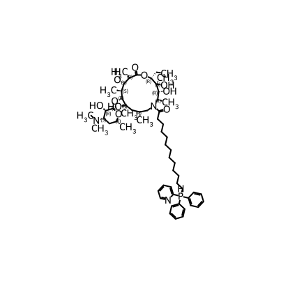 CC[C@H]1OC(=O)[C@H](C)[C@@H](O)[C@H](C)[C@@H](O[C@@H]2O[C@H](C)C[C@H](N(C)C)[C@H]2O)[C@](C)(O)C[C@@H](C)CN(C(=O)CCCCCCCCCCCC[PH](c2ccccc2)(c2ccccc2)c2ccccn2)[C@H](C)[C@@H](O)[C@]1(C)O